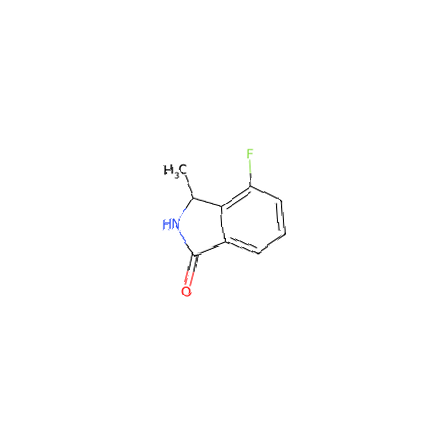 CC1NC(=O)c2cccc(F)c21